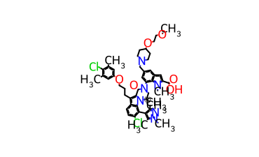 COCCOC1CCN(Cc2cc(N3C[C@@H](C)n4c(c(CCCOc5cc(C)c(Cl)c(C)c5)c5ccc(Cl)c(-c6c(C)nn(C)c6C)c54)C3=O)c3c(c2)cc(C(=O)O)n3C)CC1